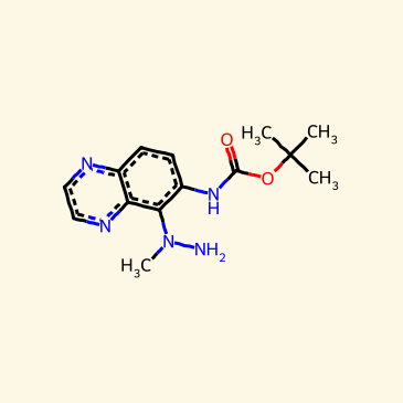 CN(N)c1c(NC(=O)OC(C)(C)C)ccc2nccnc12